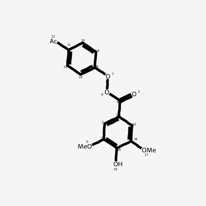 COc1cc(C(=O)OOc2ccc(C(C)=O)cc2)cc(OC)c1O